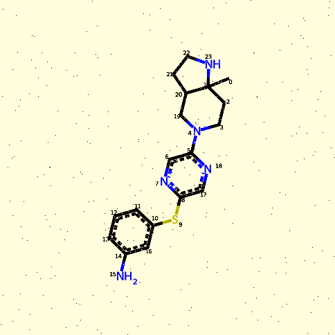 CC12CCN(c3cnc(Sc4cccc(N)c4)cn3)CC1CCN2